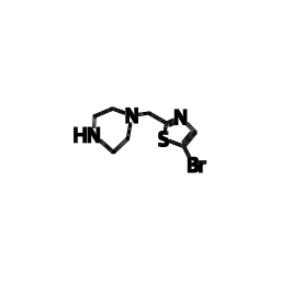 Brc1cnc(CN2CCNCC2)s1